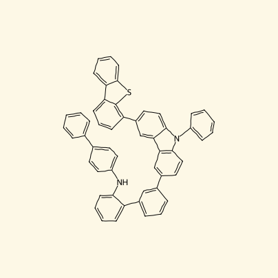 c1ccc(-c2ccc(Nc3ccccc3-c3cccc(-c4ccc5c(c4)c4cc(-c6cccc7c6sc6ccccc67)ccc4n5-c4ccccc4)c3)cc2)cc1